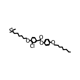 CCCCCCCCOc1ccc(OC(=O)c2ccc(OCCCCCC[Si](C)(C)C)c(Cl)c2)cc1